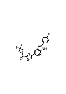 O=C(c1nc(-c2cnc3[nH]c(-c4ccc(F)cc4)cc3c2)cs1)N1CC(F)(F)C1